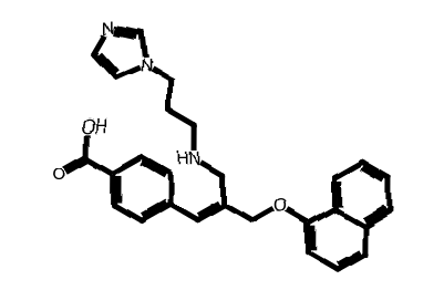 O=C(O)c1ccc(C=C(CNCCCn2ccnc2)COc2cccc3ccccc23)cc1